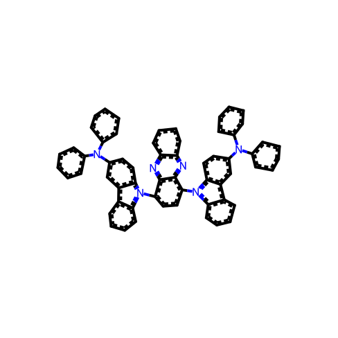 c1ccc(N(c2ccccc2)c2ccc3c(c2)c2ccccc2n3-c2ccc(-n3c4ccccc4c4cc(N(c5ccccc5)c5ccccc5)ccc43)c3nc4ccccc4nc23)cc1